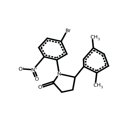 Cc1ccc(C)c(C2CCC(=O)N2c2cc(Br)ccc2[N+](=O)[O-])c1